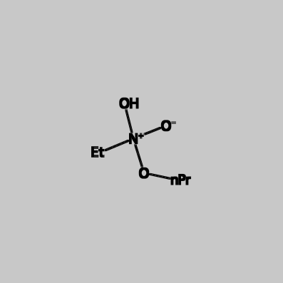 CCCO[N+]([O-])(O)CC